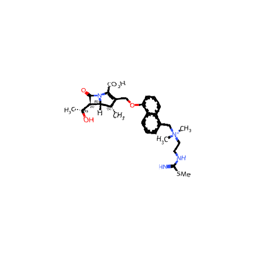 CSC(=N)NCC[N+](C)(C)Cc1cccc2c(OCC3=C(C(=O)O)N4C(=O)[C@H]([C@@H](C)O)[C@H]4[C@H]3C)cccc12